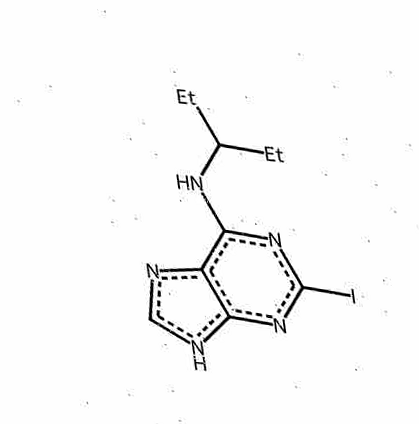 CCC(CC)Nc1nc(I)nc2[nH]cnc12